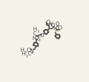 CCN(CC)Cc1ccc(-c2nc(C)c(COc3ccc([C@H](CC(=O)N4C(=O)OC[C@@H]4Cc4ccccc4)c4ccon4)cc3)s2)cc1